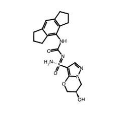 N[S@](=O)(=NC(=O)Nc1c2c(cc3c1CCC3)CCC2)c1cnn2c1OC[C@H](O)C2